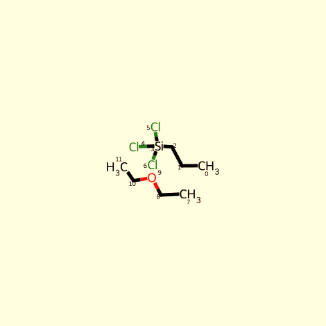 CCC[Si](Cl)(Cl)Cl.CCOCC